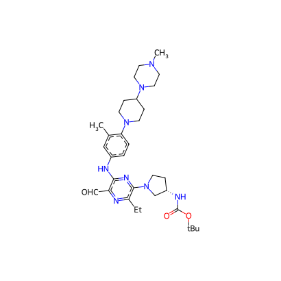 CCc1nc(C=O)c(Nc2ccc(N3CCC(N4CCN(C)CC4)CC3)c(C)c2)nc1N1CC[C@H](NC(=O)OC(C)(C)C)C1